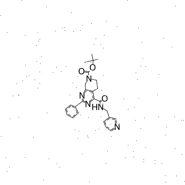 CC(C)(C)OC(=O)N1CCc2c(nc(-c3ccccc3)nc2C(=O)NCc2cccnc2)C1